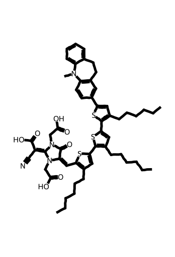 CCCCCCc1cc(-c2sc(-c3sc(-c4ccc5c(c4)CCc4ccccc4N5C)cc3CCCCCC)cc2CCCCCC)sc1/C=c1\c(=O)n(CC(=O)O)/c(=C(/C#N)C(=O)O)n1CC(=O)O